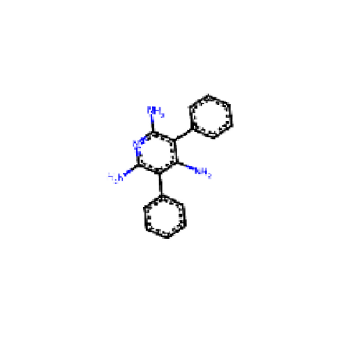 Nc1nc(N)c(-c2ccccc2)c(N)c1-c1ccccc1